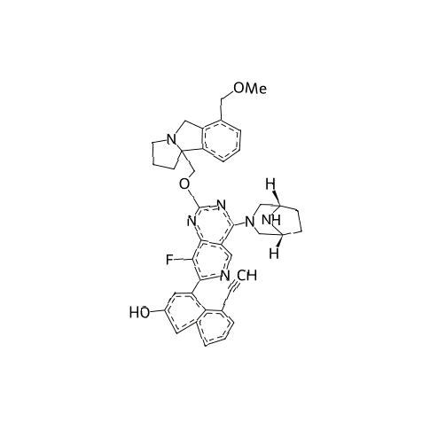 C#Cc1cccc2cc(O)cc(-c3ncc4c(N5C[C@H]6CC[C@@H](C5)N6)nc(OCC56CCCN5Cc5c(COC)cccc56)nc4c3F)c12